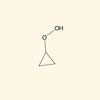 OOC1CC1